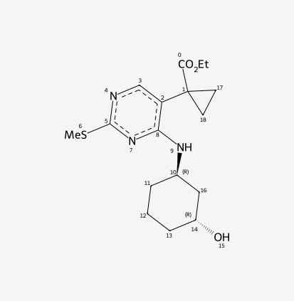 CCOC(=O)C1(c2cnc(SC)nc2N[C@@H]2CCC[C@@H](O)C2)CC1